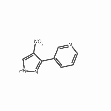 O=[N+]([O-])c1c[nH]nc1-c1cccnc1